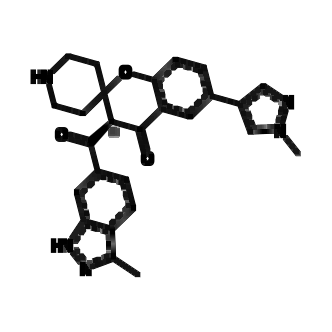 Cc1n[nH]c2cc(C(=O)[C@@H]3C(=O)c4cc(-c5cnn(C)c5)ccc4OC34CCNCC4)ccc12